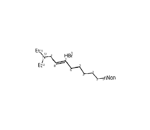 Br.CCCCCCCCCCCCCCC=CCN(CC)CC